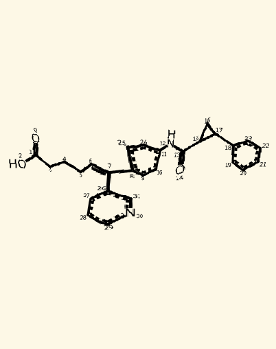 O=C(O)CCCC=C(c1ccc(NC(=O)C2CC2c2ccccc2)cc1)c1cccnc1